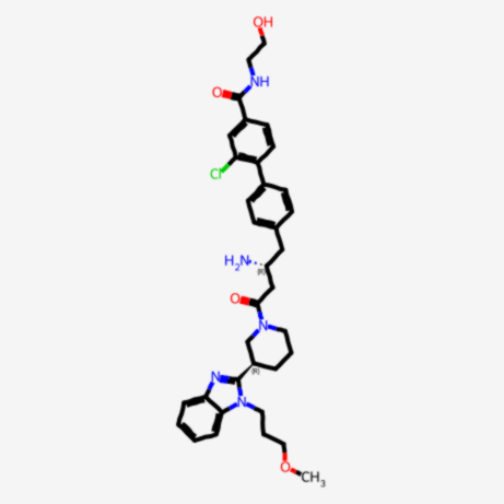 COCCCn1c([C@@H]2CCCN(C(=O)C[C@H](N)Cc3ccc(-c4ccc(C(=O)NCCO)cc4Cl)cc3)C2)nc2ccccc21